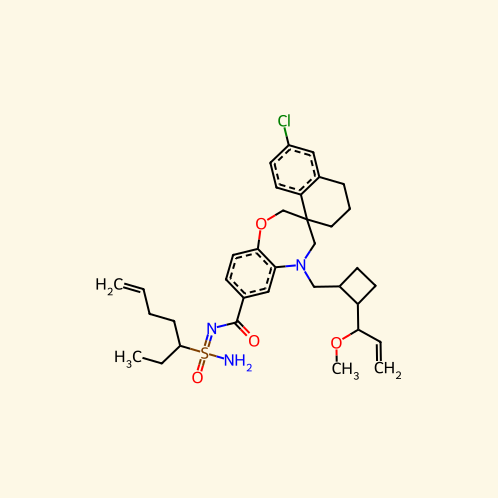 C=CCCC(CC)S(N)(=O)=NC(=O)c1ccc2c(c1)N(CC1CCC1C(C=C)OC)CC1(CCCc3cc(Cl)ccc31)CO2